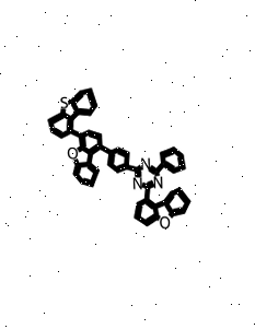 c1ccc(-c2nc(-c3ccc(-c4ccc(-c5cccc6sc7ccccc7c56)c5oc6ccccc6c45)cc3)nc(-c3cccc4oc5ccccc5c34)n2)cc1